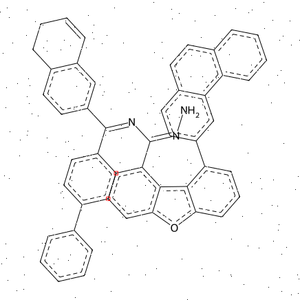 N/N=C(\N=C(/c1ccc(-c2ccccc2)cc1)c1ccc2c(c1)C=CCC2)c1cccc2oc3cccc(-c4ccc5ccc6ccccc6c5c4)c3c12